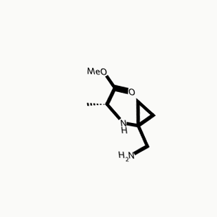 COC(=O)[C@@H](C)NC1(CN)CC1